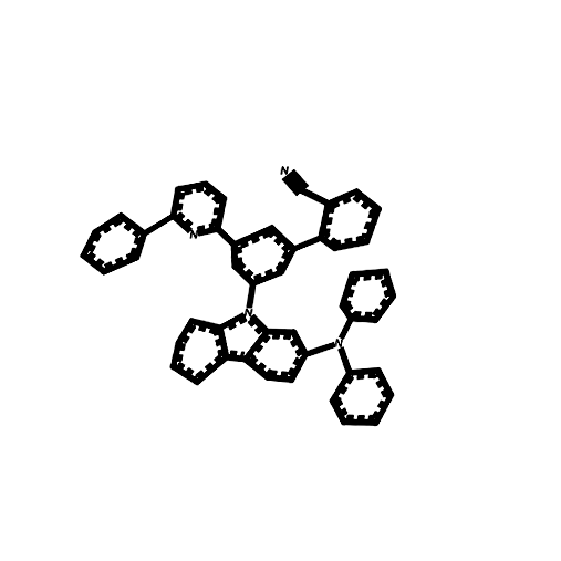 N#Cc1ccccc1-c1cc(-c2cccc(-c3ccccc3)n2)cc(-n2c3ccccc3c3ccc(N(c4ccccc4)c4ccccc4)cc32)c1